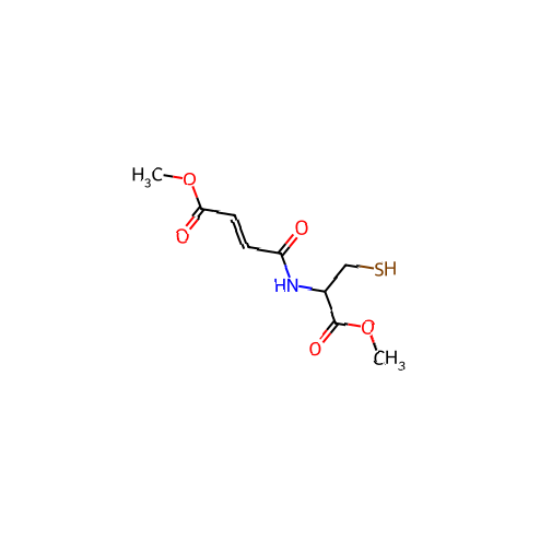 COC(=O)/C=C/C(=O)NC(CS)C(=O)OC